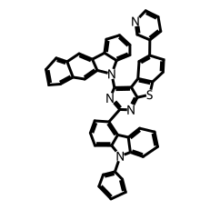 c1ccc(-n2c3ccccc3c3c(-c4nc(-n5c6ccccc6c6cc7ccccc7cc65)c5c(n4)sc4ccc(-c6cccnc6)cc45)cccc32)cc1